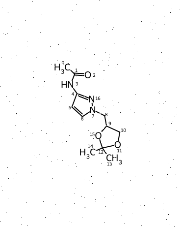 CC(=O)Nc1ccn(CC2COC(C)(C)O2)n1